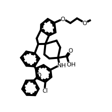 COCCOc1ccc2c(c1)C1(CCC(Nc3cccc(Cl)c3)(C(=O)O)CC1)C(c1cccc(Oc3ccccc3)c1)C2